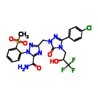 CS(=O)(=O)c1ccccc1-n1nc(Cn2nc(-c3ccc(Cl)cc3)n(C[C@H](O)C(F)(F)F)c2=O)nc1C(N)=O